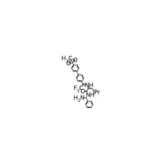 CC(C)C[C@H](N[C@@H](c1ccc(-c2ccc(S(C)(=O)=O)cc2)cc1)C(F)(F)F)C(=O)NC(N)c1ccccc1